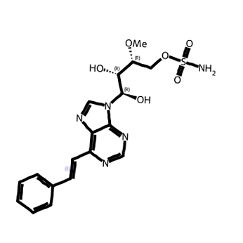 CO[C@H](COS(N)(=O)=O)[C@@H](O)[C@@H](O)n1cnc2c(/C=C/c3ccccc3)ncnc21